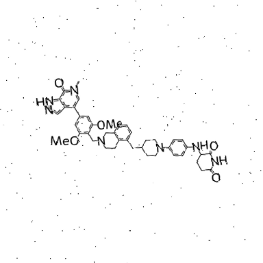 COc1cc(-c2cn(C)c(=O)c3[nH]ncc23)cc(OC)c1CN1CCc2c(CC3CCN(c4ccc(NC5CCC(=O)NC5=O)cc4)CC3)cccc2C1